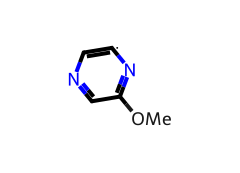 COc1cnc[c]n1